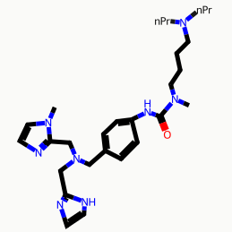 CCCN(CCC)CCCCN(C)C(=O)Nc1ccc(CN(Cc2ncc[nH]2)Cc2nccn2C)cc1